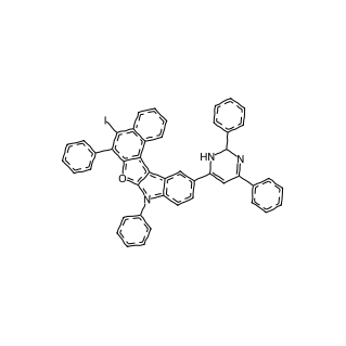 Ic1c(-c2ccccc2)c2oc3c(c4cc(C5=CC(c6ccccc6)=NC(c6ccccc6)N5)ccc4n3-c3ccccc3)c2c2ccccc12